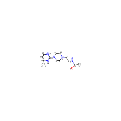 CCC(=O)NCCN1CCN(c2nccc(C(F)(F)F)n2)CC1